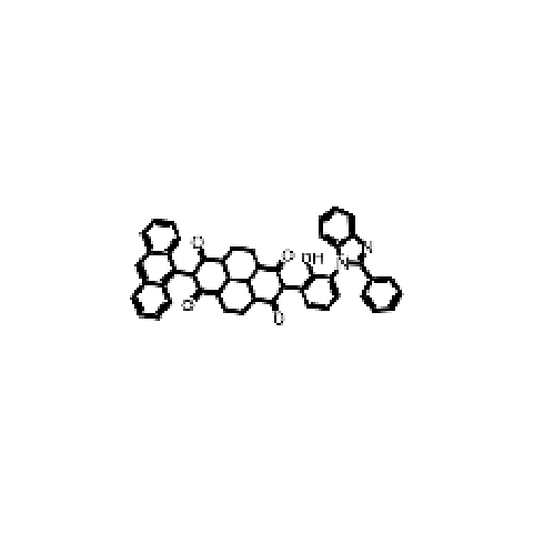 O=C1C(c2cccc(-n3c(-c4ccccc4)nc4ccccc43)c2O)C(=O)C2CCC3C(=O)C(c4c5ccccc5cc5ccccc45)C(=O)C4CCC1C2C43